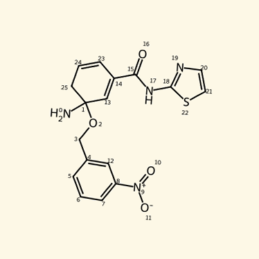 NC1(OCc2cccc([N+](=O)[O-])c2)C=C(C(=O)Nc2nccs2)C=CC1